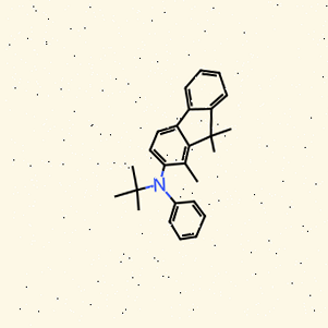 Cc1c(N(c2ccccc2)C(C)(C)C)ccc2c1C(C)(C)c1ccccc1-2